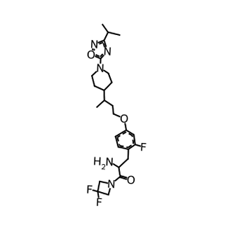 CC(C)c1noc(N2CCC(C(C)CCOc3ccc(CC(N)C(=O)N4CC(F)(F)C4)c(F)c3)CC2)n1